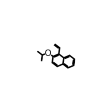 C=Cc1c(OC(C)C)ccc2ccccc12